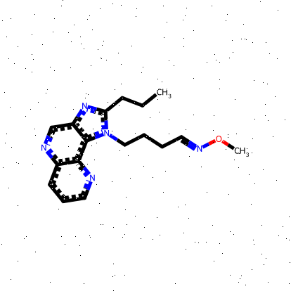 CCCc1nc2cnc3cccnc3c2n1CCC/C=N/OC